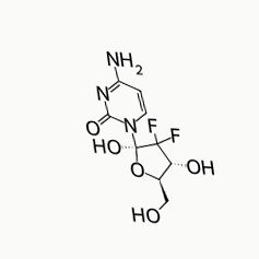 Nc1ccn([C@]2(O)O[C@H](CO)[C@@H](O)C2(F)F)c(=O)n1